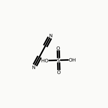 N#CC#N.O=S(=O)(O)O